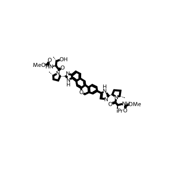 COC(=O)N[C@H](C(=O)N1[C@@H](C)CC[C@H]1c1ncc(-c2ccc3c(c2)COc2cc4c(ccc5nc([C@@H]6CC[C@H](C)N6C(=O)[C@@H](NC(=O)OC)[C@H](C)O)[nH]c54)cc2-3)[nH]1)C(C)C